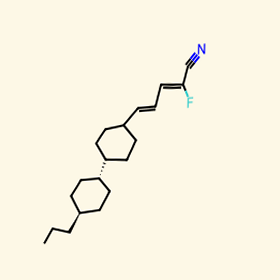 CCC[C@H]1CC[C@H](C2CCC(C=CC=C(F)C#N)CC2)CC1